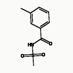 Cc1cccc(C(=O)NS(C)(=O)=O)c1